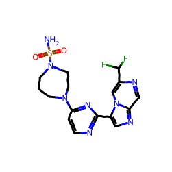 NS(=O)(=O)N1CCCN(c2ccnc(-c3cnc4cnc(C(F)F)cn34)n2)CC1